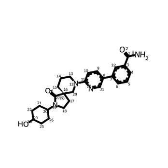 NC(=O)c1cccc(-c2ccc(N3CCC[C@]4(CCN(C5CCC(O)CC5)C4=O)C3)nc2)c1